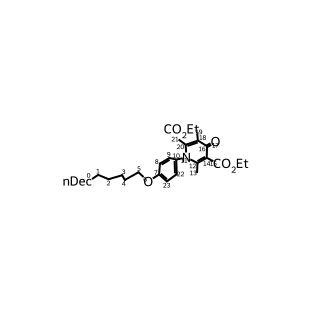 CCCCCCCCCCCCCCCOc1ccc(-n2c(C)c(C(=O)OCC)c(=O)c(C(=O)OCC)c2C)cc1